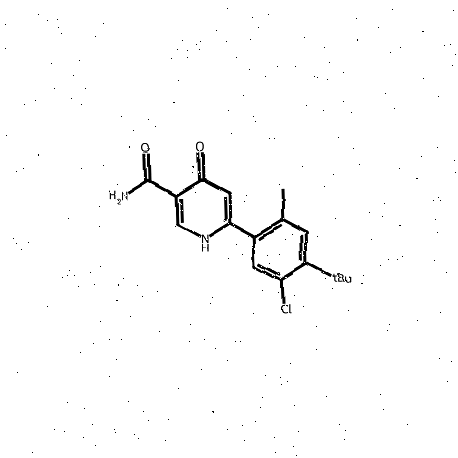 Cc1cc(C(C)(C)C)c(Cl)cc1-c1cc(=O)c(C(N)=O)c[nH]1